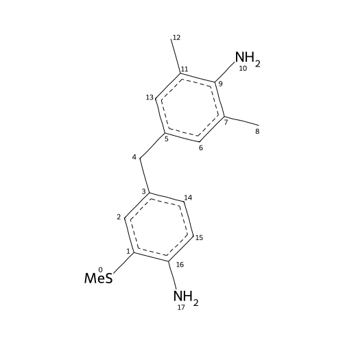 CSc1cc(Cc2cc(C)c(N)c(C)c2)ccc1N